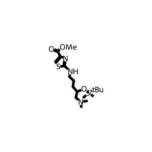 COC(=O)c1csc(NCCCC(CN(C)C)O[Si](C)(C)C(C)(C)C)n1